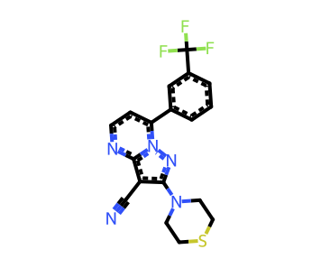 N#Cc1c(N2CCSCC2)nn2c(-c3cccc(C(F)(F)F)c3)ccnc12